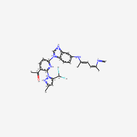 C=N/C(C)=C\C=C(/C)Nc1ccc2c(c1)ncn2-c1ccc(C(C)=O)c(-n2nc(C)cc2C(F)F)n1